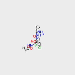 COC(=O)NCCC[C@@](O)(c1cccc(Cl)c1F)[C@@H]1CCCN(C(=O)NC[C@@H](N)CC2CCCCC2)C1